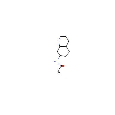 C=CC(=O)N(C)C1CCC2CCCNC2C1